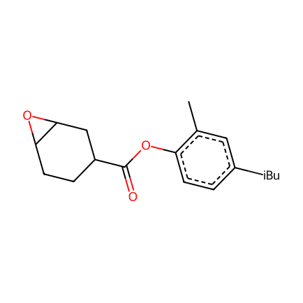 CCC(C)c1ccc(OC(=O)C2CCC3OC3C2)c(C)c1